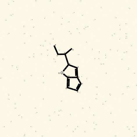 CCC(C)[C]1C=C2C=CC=C2O1